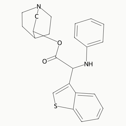 O=C(OC1CN2CCC1CC2)C(Nc1ccccc1)c1csc2ccccc12